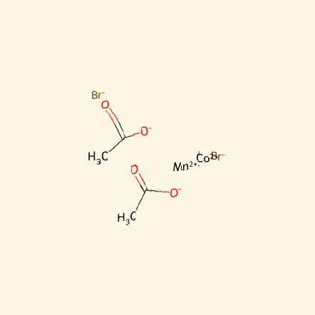 CC(=O)[O-].CC(=O)[O-].[Br-].[Br-].[Co+2].[Mn+2]